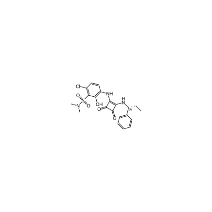 CC[C@@H](Nc1c(Nc2ccc(Cl)c(S(=O)(=O)N(C)C)c2O)c(=O)c1=O)c1ccccc1